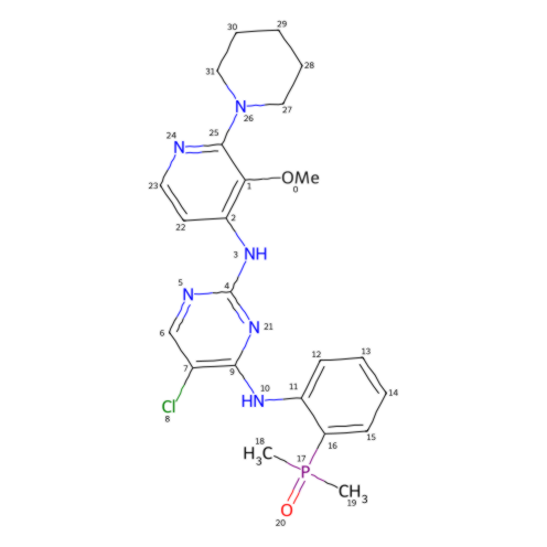 COc1c(Nc2ncc(Cl)c(Nc3ccccc3P(C)(C)=O)n2)ccnc1N1CCCCC1